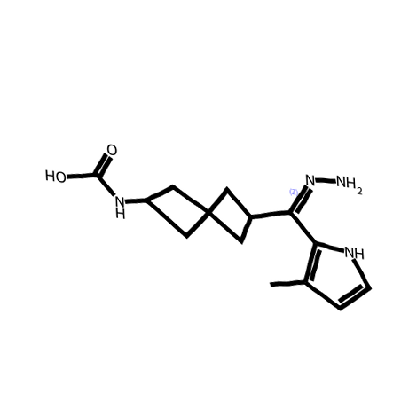 Cc1cc[nH]c1/C(=N\N)C1CC2(CC(NC(=O)O)C2)C1